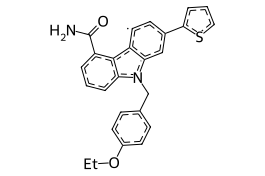 CCOc1ccc(Cn2c3cc(-c4cccs4)c[c]c3c3c(C(N)=O)cccc32)cc1